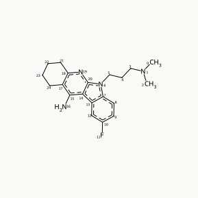 CN(C)CCCn1c2ccc(F)cc2c2c(N)c3c(nc21)CCCC3